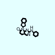 O=c1ccc2cnc(Nc3ccccc3)nc2n1C1Cc2ccccc2C1